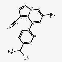 Bc1cc(-c2ccc(C(C)C)cc2)c2c(C#N)cnn2c1